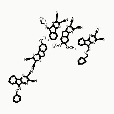 CCON=C1c2ccccc2-c2nc(C#N)c(C#N)nc21.COc1cc2c(cc1OC)-c1nc(C#N)c(C#N)nc1C2.COc1ccc2c(c1)-c1nc(C#N)c(C#N)nc1C2.N#Cc1nc2c(nc1C#N)-c1ccccc1C2=NOCc1ccccc1.N#Cc1nc2c(nc1C#N)-c1ccccc1C2=NOc1ccccc1